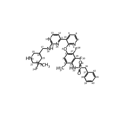 Cc1cc(Oc2ncccc2-c2ccnc(NCC3CNC[C@@](C)(F)C3)n2)c(F)c(F)c1NS(=O)(=O)Cc1ccccc1